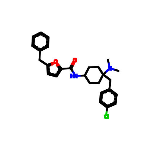 CN(C)C1(Cc2ccc(Cl)cc2)CCC(NC(=O)c2ccc(Cc3ccccc3)o2)CC1